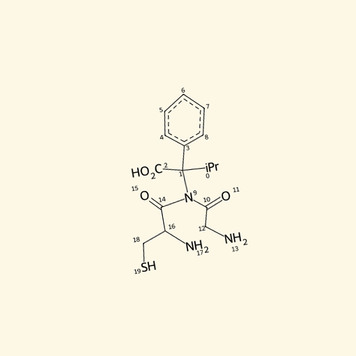 CC(C)C(C(=O)O)(c1ccccc1)N(C(=O)CN)C(=O)C(N)CS